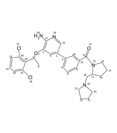 CC(Oc1cc(-c2cccc(C(=O)N3CCCC3CN3CCCC3)c2)cnc1N)c1c(Cl)cccc1Cl